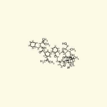 C[C@H](O)[C@@H]1[C@H](CO)ON(Cc2cccc(-c3cc(C(=O)N[C@@H](Cc4ccccc4)CN(C)C)cc(N(C)C)c3)c2OCCN2CCOCC2)[C@@H]1C(=O)N[C@H]1C[C@H]2CC([C@@H]1C)C2(C)C